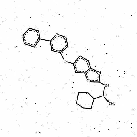 C[C@H](Nc1nc2ccc(Oc3ccnc(-c4ccncc4)c3)cc2s1)C1CCCCC1